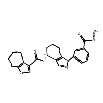 CC(C)OC(=O)c1cccc(-n2ncc3c2CCC[C@H]3NC(=O)c2noc3c2CCCC3)c1